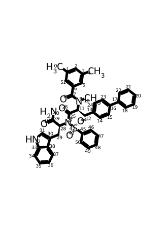 Cc1cc(C)cc(C(=O)N(C)[C@@H](Cc2ccc(-c3ccccc3)cc2)C(=O)N([C@@H](Cc2c[nH]c3ccccc23)C(N)=O)S(=O)(=O)c2ccccc2)c1